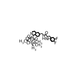 CC(C)(C)OC(=O)N(C(=O)OC(C)(C)C)c1nccc2cc(CNC(=O)[C@H](N)Cc3ccc(F)c(F)c3)ccc12